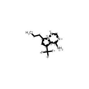 CCCc1cc(C(F)(F)F)c2c(N)ncnn12